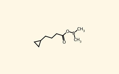 CB(C)OC(=O)CCCC1CC1